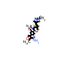 CC1OCc2c1c(N)nc1ccc(C(=O)N(C)C3COCc4cc(-c5cnn(C)c5)sc43)cc21